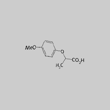 COc1ccc(OC(C)C(=O)O)cc1